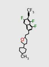 CC1CCC(C2CCC(CCc3cc(F)c4c(F)c(C#CC(F)(F)F)c(F)cc4c3)OC2)CC1